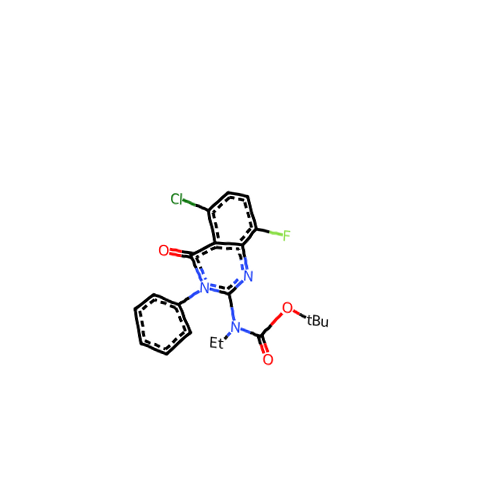 CCN(C(=O)OC(C)(C)C)c1nc2c(F)ccc(Cl)c2c(=O)n1-c1ccccc1